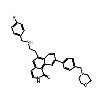 O=c1[nH]ccc2cc(CCNCc3ccc(F)cc3)c3ccc(-c4ccc(CN5CCOCC5)cc4)cc3c12